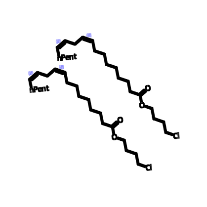 CCCCC/C=C\C/C=C\CCCCCCCC(=O)OCCCCCl.CCCCC/C=C\C/C=C\CCCCCCCC(=O)OCCCCCl